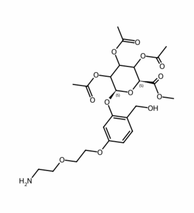 COC(=O)[C@H]1O[C@@H](Oc2cc(OCCOCCN)ccc2CO)C(OC(C)=O)C(OC(C)=O)C1OC(C)=O